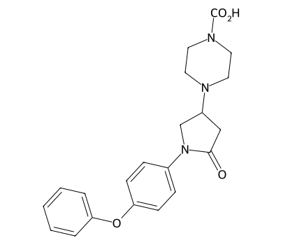 O=C(O)N1CCN(C2CC(=O)N(c3ccc(Oc4ccccc4)cc3)C2)CC1